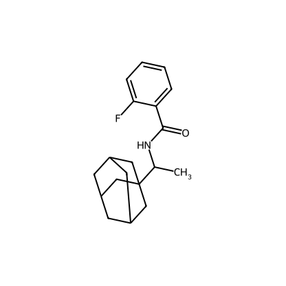 CC(NC(=O)c1ccccc1F)C12CC3CC(CC(C3)C1)C2